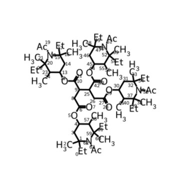 CCC1(C)CC(OC(=O)CC(C(=O)OC2CC(C)(CC)N(C(C)=O)C(C)(CC)C2C)C(CC(=O)OC2CC(C)(CC)N(C(C)=O)C(C)(CC)C2C)C(=O)OC2CC(C)(CC)N(C(C)=O)C(C)(CC)C2C)C(C)C(C)(CC)N1C(C)=O